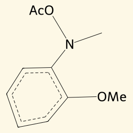 COc1ccccc1N(C)OC(C)=O